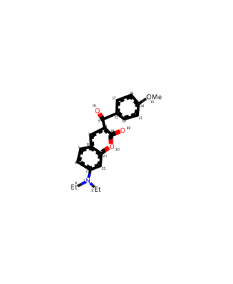 CCN(CC)c1ccc2cc(C(=O)c3ccc(OC)cc3)c(=O)oc2c1